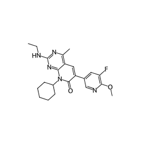 CCNc1nc(C)c2cc(-c3cnc(OC)c(F)c3)c(=O)n(C3CCCCC3)c2n1